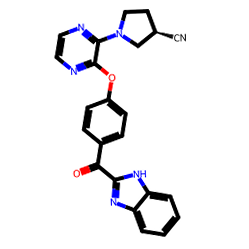 N#C[C@@H]1CCN(c2nccnc2Oc2ccc(C(=O)c3nc4ccccc4[nH]3)cc2)C1